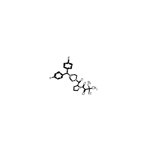 CCC(C)(C)C(=O)C(=O)N1CCCC1C(=O)N1CCN(C(c2ccc(F)cc2)c2ccc(F)cc2)CC1